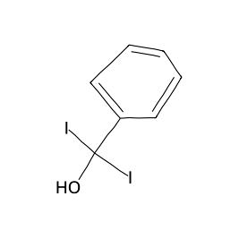 OC(I)(I)c1ccccc1